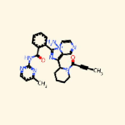 CC#CC(=O)N1CCCCC1C1=C2C=NC=C[N+]2(N)C(c2ccccc2C(=O)Nc2nccc(C)n2)=N1